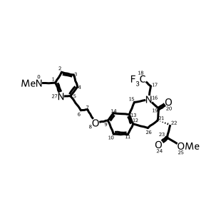 CNc1cccc(CCOc2ccc3c(c2)CN(CC(F)(F)F)C(=O)[C@H](CC(=O)OC)C3)n1